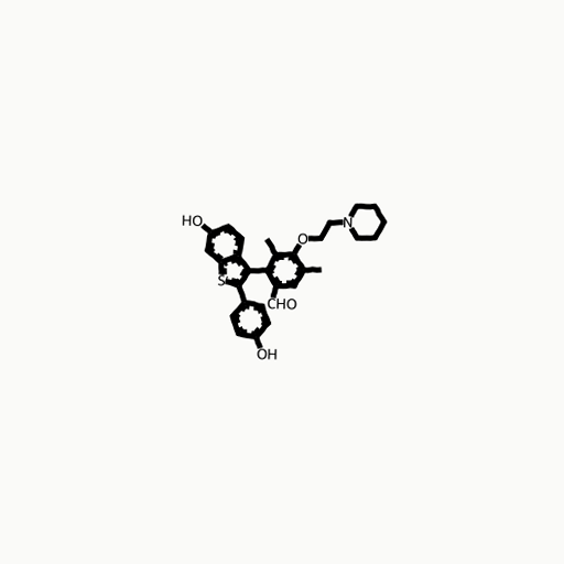 Cc1cc(C=O)c(-c2c(-c3ccc(O)cc3)sc3cc(O)ccc23)c(C)c1OCCN1CCCCC1